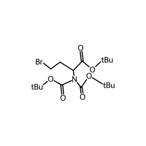 CC(C)(C)OC(=O)C(CCBr)N(C(=O)OC(C)(C)C)C(=O)OC(C)(C)C